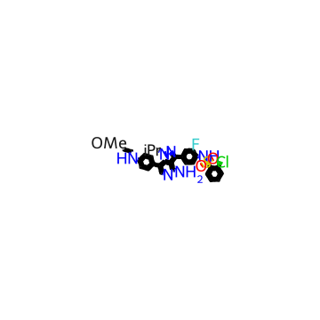 COCCNc1ccc(-c2cnc(N)c3c(-c4ccc(NS(=O)(=O)c5ccccc5Cl)c(F)c4)nn(C(C)C)c23)cc1